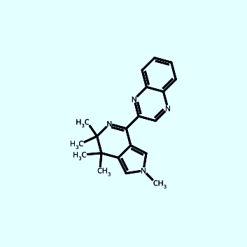 Cn1cc2c(c1)C(C)(C)C(C)(C)N=C2c1cnc2ccccc2n1